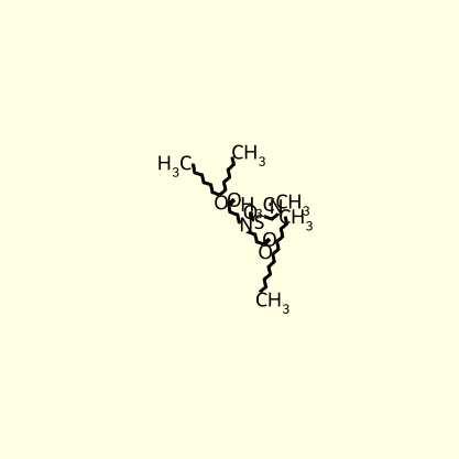 CCCCCCCC(CCCCCC)OC(=O)CCCN(CCCC(=O)OC(CCCCCCC)CCCCCCC)C(=O)SCCCN(C)C